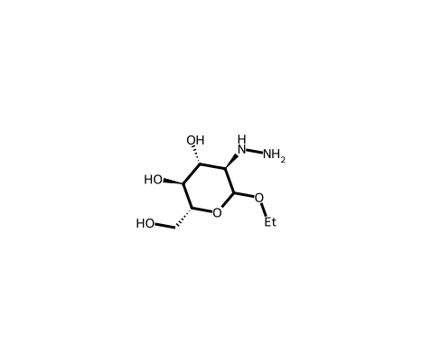 CCOC1O[C@H](CO)[C@@H](O)[C@H](O)[C@H]1NN